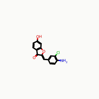 Nc1ccc(/C=C2\Oc3cc(O)ccc3C2=O)cc1Cl